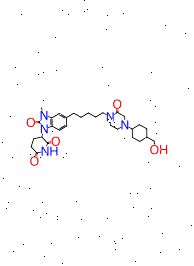 Cn1c(=O)n(C2CCC(=O)NC2=O)c2ccc(CCCCCN3CCN(C4CCC(CO)CC4)CC3=O)cc21